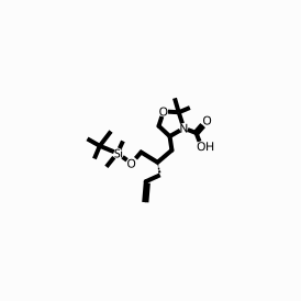 C=CC[C@H](CO[Si](C)(C)C(C)(C)C)CC1COC(C)(C)N1C(=O)O